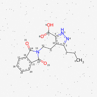 CCCc1n[nH]c(C(=O)O)c1CCN1C(=O)c2ccccc2C1=O